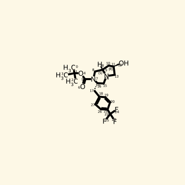 CC(C)(C)OC(=O)N1C[C@@H]2C[C@@H](O)CN2C[C@@H]1Cc1ccc(C(F)(F)F)cc1